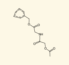 CC(=O)OCC(=O)NCC(=O)OCc1ccccc1